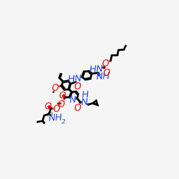 C=Cc1cc(C(=O)Nc2ccc(C(=N)NC(=O)OCCCCCC)cc2)c(-c2ccc(C(=O)NCC3CC3)nc2C(=O)OCOC(=O)[C@@H](N)CC(C)C)cc1OC